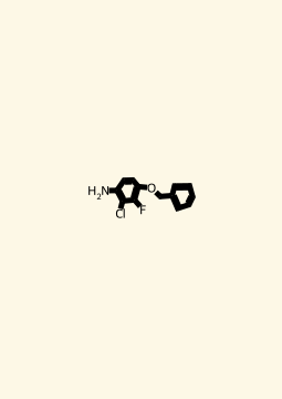 Nc1ccc(OCc2ccccc2)c(F)c1Cl